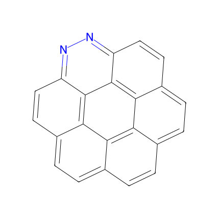 c1cc2ccc3ccc4nnc5ccc6ccc1c1c2c3c4c5c61